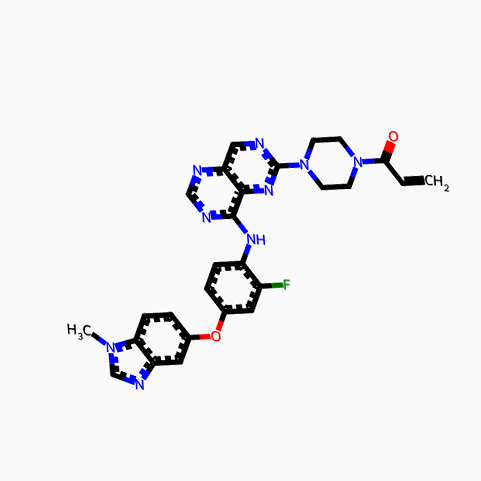 C=CC(=O)N1CCN(c2ncc3ncnc(Nc4ccc(Oc5ccc6c(c5)ncn6C)cc4F)c3n2)CC1